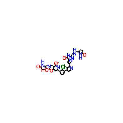 COc1nc(-c2cccc(-c3ccnc(-c4cc5c(=O)n(C)c(CNC[C@@H]6CCC(=O)N6)nn5c4)c3Cl)c2Cl)ccc1CN(C[C@@H]1CCC(=O)N1)C(=O)O